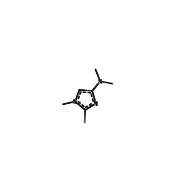 Cc1nc(N(C)C)cn1C